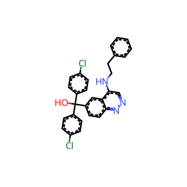 OC(c1ccc(Cl)cc1)(c1ccc(Cl)cc1)c1ccc2nncc(NCCc3ccccc3)c2c1